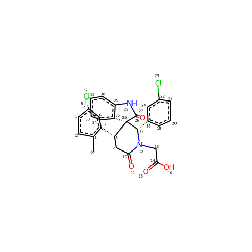 Cc1ccc(F)cc1[C@H]1CC(=O)N(CC(=O)O)[C@@H](c2cccc(Cl)c2)[C@]12C(=O)Nc1cc(Cl)ccc12